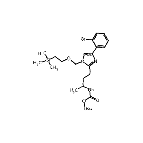 CC(CCc1nc(-c2ccccc2Br)cn1COCC[Si](C)(C)C)NC(=O)OC(C)(C)C